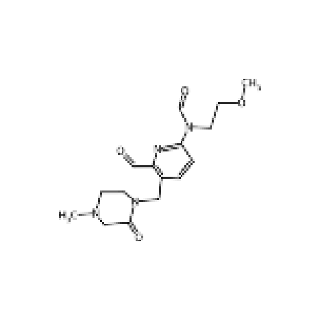 COCCN(C=O)c1ccc(CN2CCN(C)CC2=O)c(C=O)n1